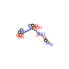 CC1(C)C(/C=C/C=C/C=C2\N3CCCc4ccc(S(=O)(=O)O)c(c43)C2(C)CCCCCC(=O)NCCCOc2ccc3nc(C#N)sc3c2)=[N+]2CCCc3ccc(S(=O)(=O)O)c1c32